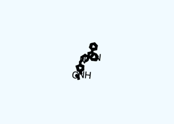 CC(=O)Nc1ccc(CN2CCC(CCc3ccccc3)(c3ccncc3)CC2)cc1